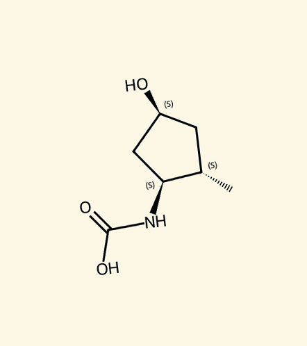 C[C@H]1C[C@H](O)C[C@@H]1NC(=O)O